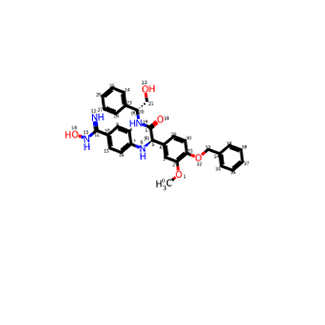 COc1cc([C@@H](Nc2ccc(C(=N)NO)cc2)C(=O)N[C@@H](CO)c2ccccc2)ccc1OCc1ccccc1